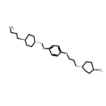 CCCC[C@H]1CC[C@H](COc2ccc(OCCC[C@H]3CC[C@H](C)CC3)cc2)CC1